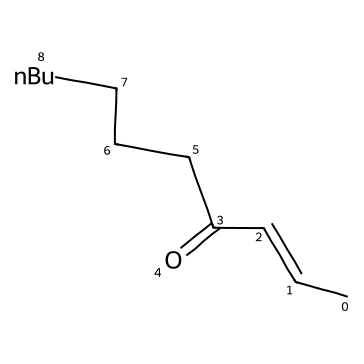 CC=CC(=O)CCCCCCC